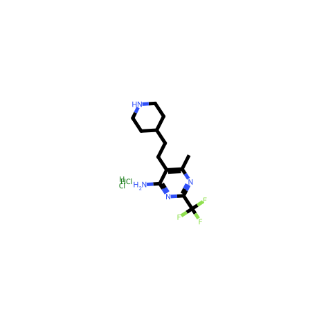 Cc1nc(C(F)(F)F)nc(N)c1CCC1CCNCC1.Cl.Cl